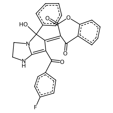 O=C1Oc2ccccc2C(=O)C1=C1C(C(=O)c2ccc(F)cc2)=C2NCCN2C1(O)c1ccccc1